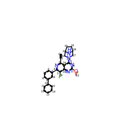 C#Cc1nc(-c2cccc(-c3ccccc3)c2)c(F)c2nc(OC)nc(N3CC4CCC(C3)N4)c12